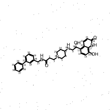 O=C(CCN1CCC(NC[C@H](O)c2ccc(O)c3[nH]c(=O)ccc23)CC1)NCc1cccc(-c2ccccc2)c1